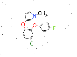 Cn1ccc(Oc2ccc(Cl)cc2Oc2ccc(F)cc2)c1